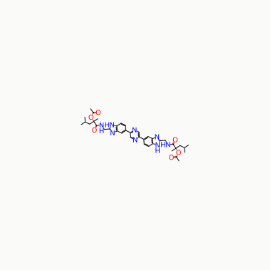 CC(=O)OC(C)(CC(C)C)C(=O)NCc1nc2cc(-c3cnc(-c4ccc5[nH]c(CNC(=O)C(C)(CC(C)C)OC(C)=O)nc5c4)cn3)ccc2[nH]1